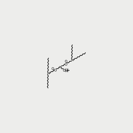 CCCCCCCCCCN(CCCCCCCCCC)CCCC(=O)OCCCN(CCCOC(=O)CCCN(CCCCCCCCCC)CCCCCCCCCC)CCO[Si](C)(C)C(C)(C)C